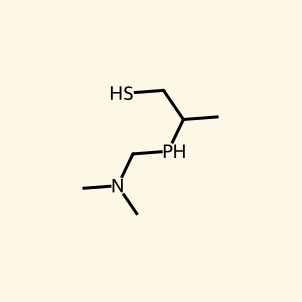 CC(CS)PCN(C)C